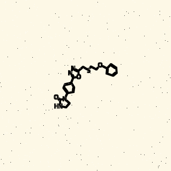 O=C1NCCN1c1ccc(-c2nnc(CSCCOc3ccccc3)o2)cc1